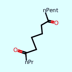 CCCCCC(=O)CCCCC(=O)CCC